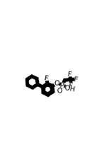 O=P(O)(CC(F)(F)F)Oc1cccc(C2CCCCC2)c1F